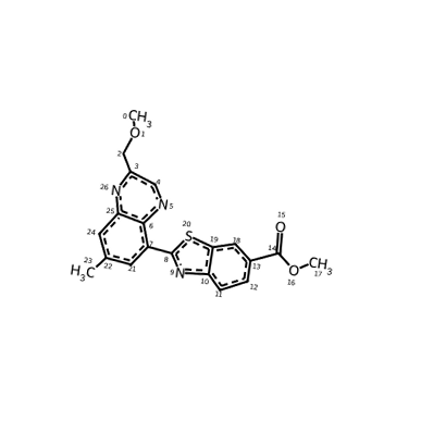 COCc1cnc2c(-c3nc4ccc(C(=O)OC)cc4s3)cc(C)cc2n1